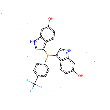 Oc1ccc2c(P(c3ccc(C(F)(F)F)cc3)c3c[nH]c4cc(O)ccc34)c[nH]c2c1